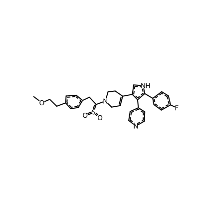 COCCc1ccc(CC(N2CC=C(c3c[nH]c(-c4ccc(F)cc4)c3-c3ccncc3)CC2)=S(=O)=O)cc1